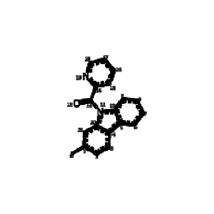 Cc1ccc2c3ccccc3n(C(=O)c3ccccn3)c2c1